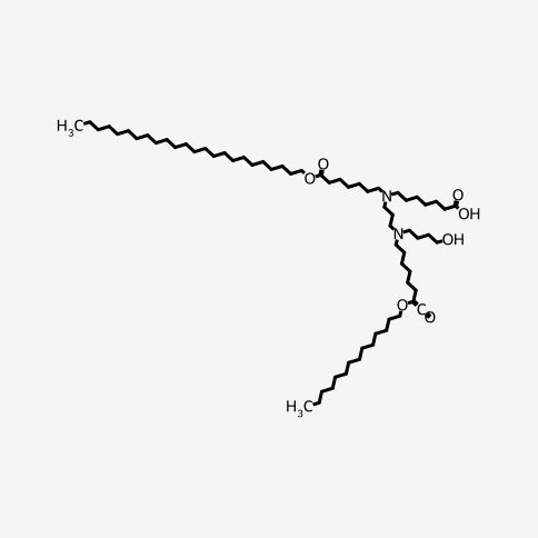 CCCCCCCCCCCCCCCCCCCCCCCCOC(=O)CCCCCCN(CCCCCCC(=O)O)CCCN(CCCCO)CCCCCCC(=C=O)OCCCCCCCCCCCCCC